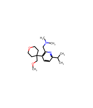 COCC1(c2ccc(C(C)C)nc2CN(C)C)CCOCC1